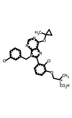 C[C@@H](COc1cccc(-c2nc3c(OC4(C)CC4)ncnc3n2Cc2cccc(Cl)c2)c1Cl)C(=O)O